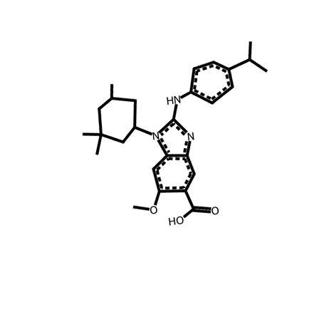 COc1cc2c(cc1C(=O)O)nc(Nc1ccc(C(C)C)cc1)n2C1CC(C)CC(C)(C)C1